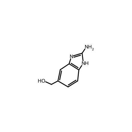 Nc1nc2cc(CO)ccc2[nH]1